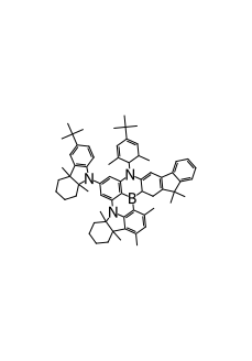 CC1=CC(C(C)(C)C)=CC(C)C1N1C2=CC3=C(CC2B2c4c1cc(N1c5ccc(C(C)(C)C)cc5C5(C)CCCCC15C)cc4N1c4c2c(C)cc(C)c4C2(C)CCCCC12C)C(C)(C)c1ccccc13